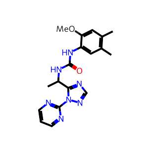 COc1cc(C)c(C)cc1NC(=O)NC(C)c1ncnn1-c1ncccn1